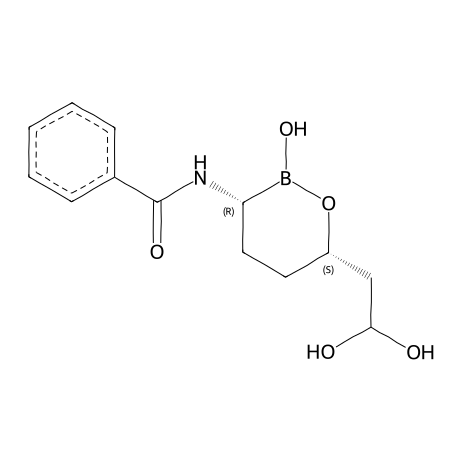 O=C(N[C@H]1CC[C@@H](CC(O)O)OB1O)c1ccccc1